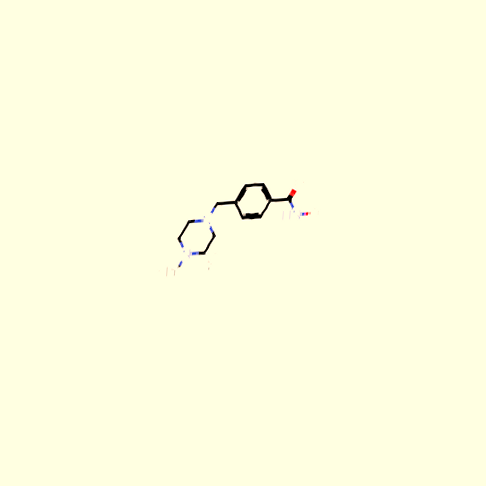 CCCN1CCN(Cc2ccc(C(=O)NO)cc2)C[C@@H]1C